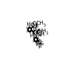 CC(C)CN1C(=O)c2ccccc2C(CNc2cccc(OC(F)(F)F)c2)[C@H]1/C(C=N)=C/N